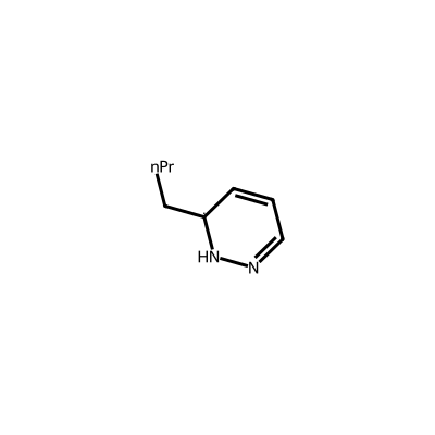 CCCC[C]1C=CC=NN1